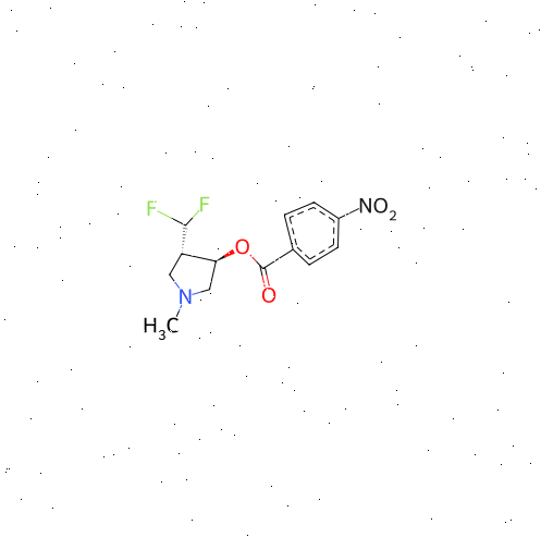 CN1C[C@H](OC(=O)c2ccc([N+](=O)[O-])cc2)[C@@H](C(F)F)C1